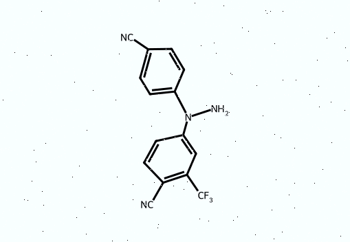 N#Cc1ccc(N(N)c2ccc(C#N)c(C(F)(F)F)c2)cc1